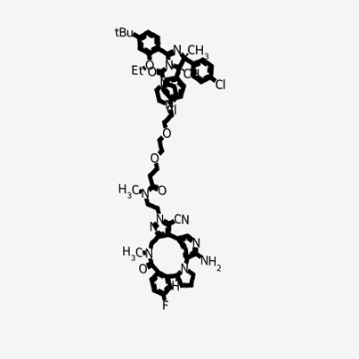 CCOc1cc(C(C)(C)C)ccc1C1=N[C@@](C)(c2ccc(Cl)cc2)[C@@](C)(c2ccc(Cl)cc2)N1C(=O)N1CCN(CCOCCOCCC(=O)N(C)CCn2nc3c(c2C#N)-c2cnc(N)c(c2)N2CCC[C@@H]2c2cc(F)ccc2C(=O)N(C)C3)CC1